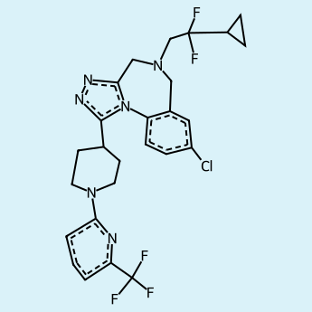 FC(F)(F)c1cccc(N2CCC(c3nnc4n3-c3ccc(Cl)cc3CN(CC(F)(F)C3CC3)C4)CC2)n1